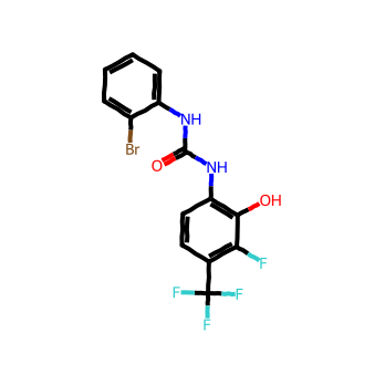 O=C(Nc1ccccc1Br)Nc1ccc(C(F)(F)F)c(F)c1O